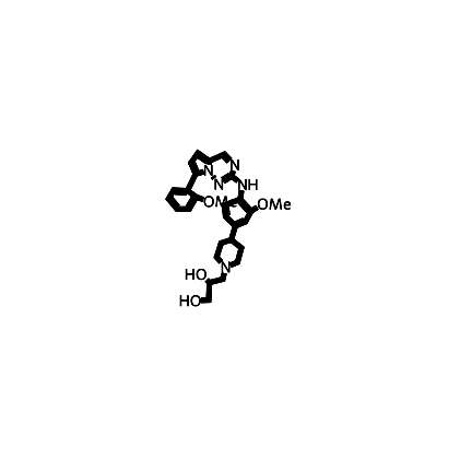 COc1cc(C2CCN(CC(O)CO)CC2)ccc1Nc1ncc2ccc(-c3ccccc3OC)n2n1